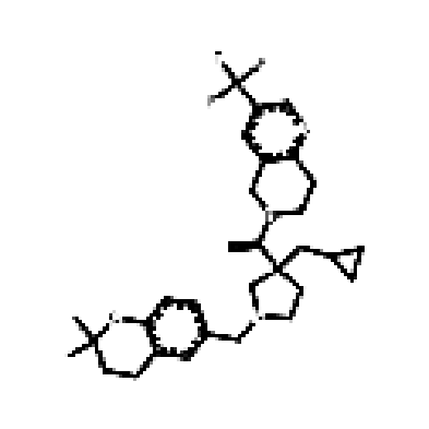 C=C(N1CCc2ncc(C(F)(F)F)cc2C1)C1(CC2CC2)CCN(Cc2ccc3c(c2)CCC(C)(C)O3)C1